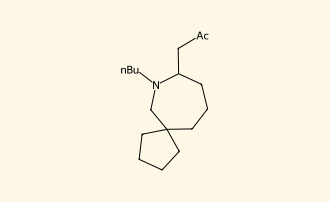 CCCCN1CC2(CCCC2)CCCC1CC(C)=O